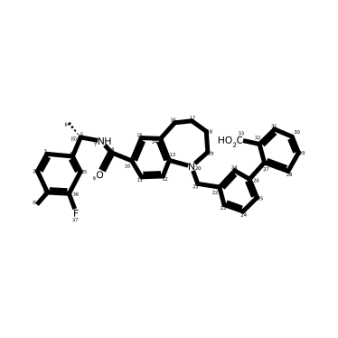 Cc1ccc([C@H](C)NC(=O)c2ccc3c(c2)CCCCN3Cc2cccc(-c3ccccc3C(=O)O)c2)cc1F